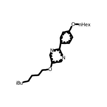 CCCCCCOc1ccc(-c2ncc(OCCCCC(C)CC)cn2)cc1